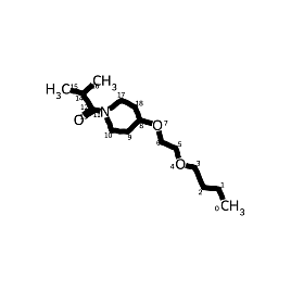 CCCCOCCOC1CCN(C(=O)C(C)C)CC1